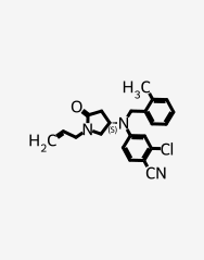 C=CCN1C[C@@H](N(Cc2ccccc2C)c2ccc(C#N)c(Cl)c2)CC1=O